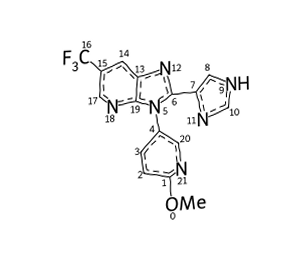 COc1ccc(-n2c(-c3c[nH]cn3)nc3cc(C(F)(F)F)cnc32)cn1